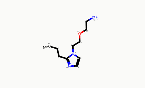 COCCc1nccn1CCOCCN